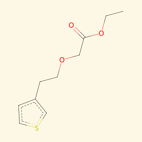 CCOC(=O)COCCc1ccsc1